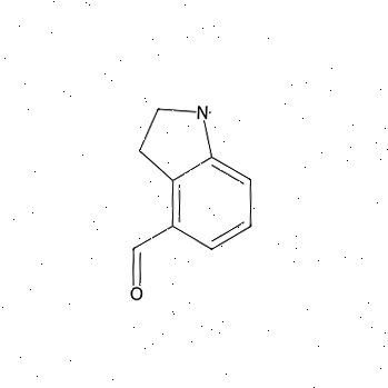 O=Cc1cccc2c1CC[N]2